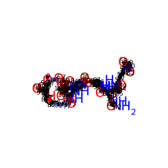 CO[C@H]1/C=C/O[C@@]2(C)Oc3c(C)c(O)c4c(c3C2=O)C2=NC3(CCN(C(=O)OCc5ccc(NC(=O)[C@H](CCCNC(N)=O)NC(=O)[C@@H](NC(=O)CCCCCN6C(=O)C=CC6=O)C(C)C)cc5)CC3)NC2=C(NC(=O)/C(C)=C\C=C\[C@H](C)C[C@@H](C)C[C@@H](C)[C@H](OC(C)=O)[C@@H]1C)C4=O